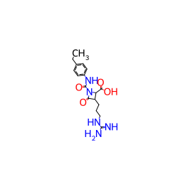 CCc1ccc(NC(=O)N2C(=O)C(CCCNC(=N)N)C2C(=O)O)cc1